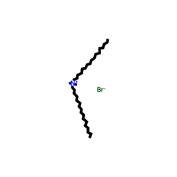 CCCCCCCCCCCCCCCCC[N+](C)(C)CCCCCCCCCCCCCCCCC.[Br-]